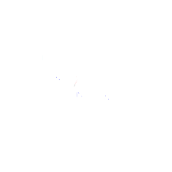 O=CON1CC(F)[C@@H](NC(=O)CN2CC(F)C2)C1